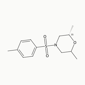 Cc1ccc(S(=O)(=O)N2CC(C)O[C@@H](C)C2)cc1